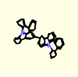 C1=CC(c2ccccc2-n2c3ccccc3c3cc(-c4ccc5c(c4)c4ccccc4n5-c4ccccc4-c4ccccc4)ccc32)=CCC1